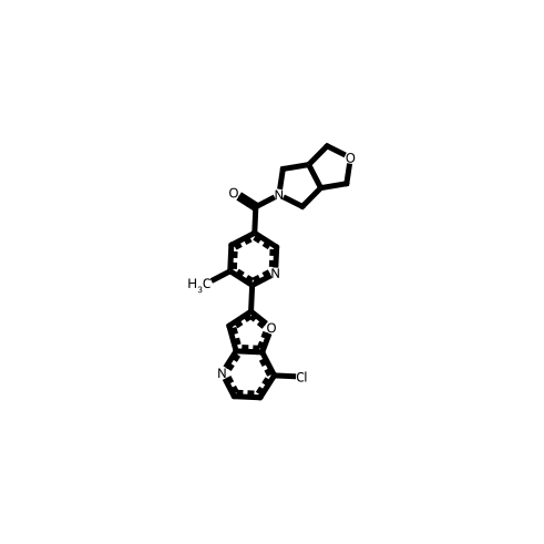 Cc1cc(C(=O)N2CC3COCC3C2)cnc1-c1cc2nccc(Cl)c2o1